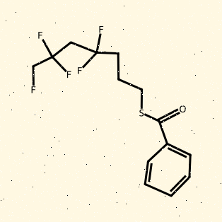 O=C(SCCCC(F)(F)CC(F)(F)CF)c1ccccc1